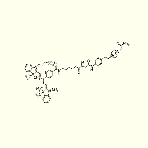 CN1/C(=C/C=C(/C=C/C2=[N+](CCCS(=O)(=O)O)c3ccccc3C2(C)C)c2ccc(C(=O)NCCCCCC(=O)NCC(=O)Nc3ccc(CC[N+]45CC[N+](CC(N)=O)(CC4)CC5)cc3)cn2)C(C)(C)c2ccccc21